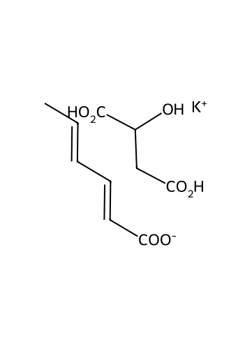 C/C=C/C=C/C(=O)[O-].O=C(O)CC(O)C(=O)O.[K+]